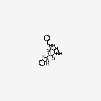 O=C(NCc1ccccc1)c1nc[nH]c1C(=O)Nc1nc2ccccc2[nH]1